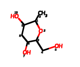 CC1OC(CO)C(O)CC1O